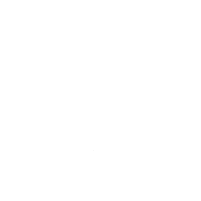 CC1(C)c2ccccc2-c2cc(BCC(C)(C)C(C)(C)C)ccc21